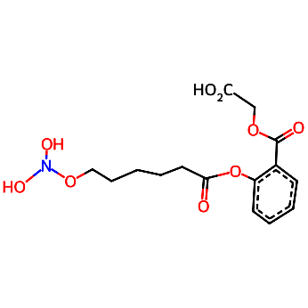 O=C(O)COC(=O)c1ccccc1OC(=O)CCCCCON(O)O